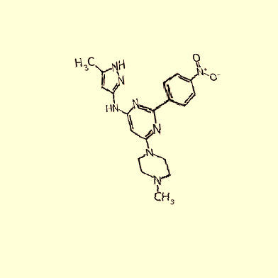 Cc1cc(Nc2cc(N3CCN(C)CC3)nc(-c3ccc([N+](=O)[O-])cc3)n2)n[nH]1